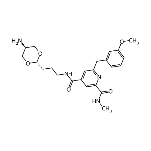 CNC(=O)c1cc(C(=O)NCCC[C@H]2OC[C@H](N)CO2)cc(Cc2cccc(OC)c2)n1